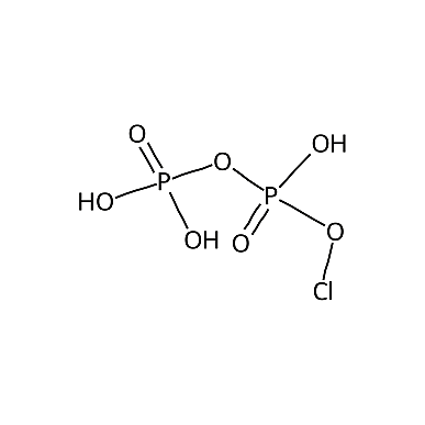 O=P(O)(O)OP(=O)(O)OCl